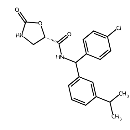 CC(C)c1cccc(C(NC(=O)[C@@H]2CNC(=O)O2)c2ccc(Cl)cc2)c1